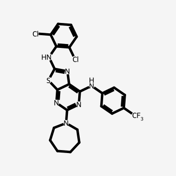 FC(F)(F)c1ccc(Nc2nc(N3CCCCCC3)nc3sc(Nc4c(Cl)cccc4Cl)nc23)cc1